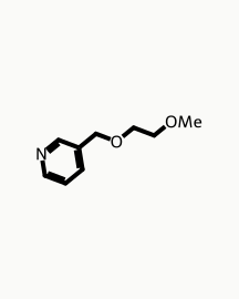 COCCOCc1cccnc1